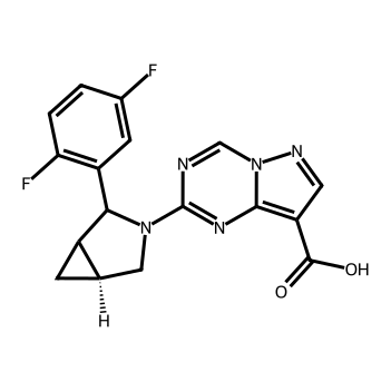 O=C(O)c1cnn2cnc(N3C[C@H]4CC4C3c3cc(F)ccc3F)nc12